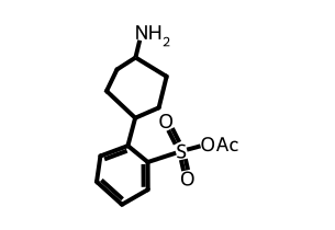 CC(=O)OS(=O)(=O)c1ccccc1C1CCC(N)CC1